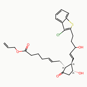 C=CCOC(=O)CCCC=CC[C@H]1C(=O)C[C@@H](O)[C@@H]1C=CC(O)CCc1sc2ccccc2c1Cl